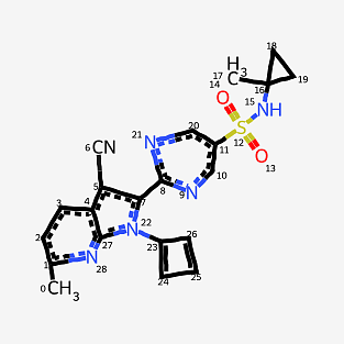 Cc1ccc2c(C#N)c(-c3ncc(S(=O)(=O)NC4(C)CC4)cn3)n(C3=CC=C3)c2n1